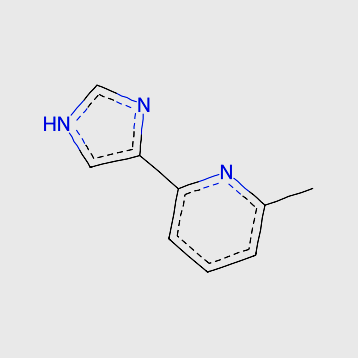 Cc1cccc(-c2c[nH]cn2)n1